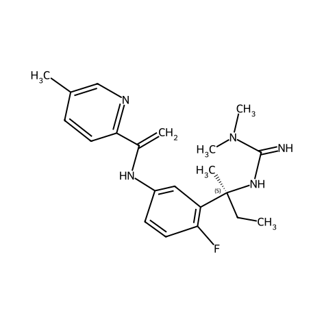 C=C(Nc1ccc(F)c([C@](C)(CC)NC(=N)N(C)C)c1)c1ccc(C)cn1